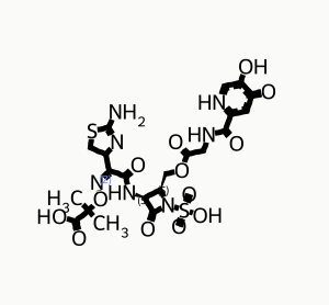 CC(C)(O/N=C(\C(=O)N[C@@H]1C(=O)N(S(=O)(=O)O)[C@@H]1COC(=O)CNC(=O)c1cc(=O)c(O)c[nH]1)C1CSC(N)=N1)C(=O)O